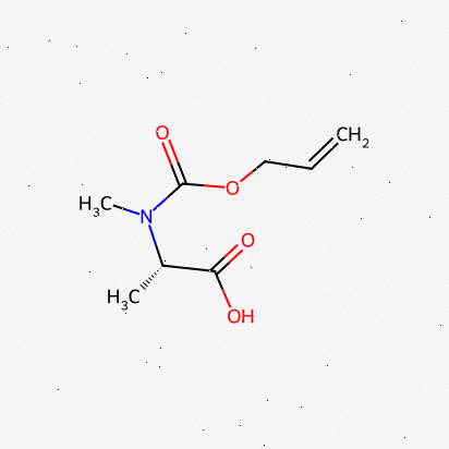 C=CCOC(=O)N(C)[C@@H](C)C(=O)O